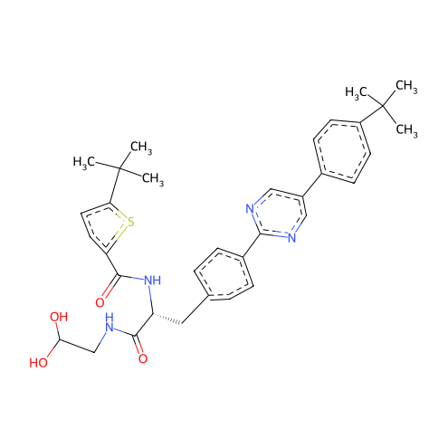 CC(C)(C)c1ccc(-c2cnc(-c3ccc(C[C@@H](NC(=O)c4ccc(C(C)(C)C)s4)C(=O)NCC(O)O)cc3)nc2)cc1